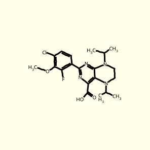 COc1c(Cl)ccc(-c2nc(C(=O)O)c3c(n2)N(C(C)C)CCN3C(C)C)c1F